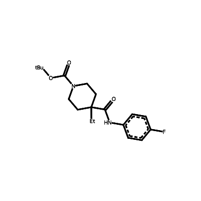 CCC1(C(=O)Nc2ccc(F)cc2)CCN(C(=O)OC(C)(C)C)CC1